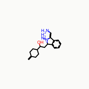 C=C1CCC(C(O)CC2c3ccccc3/C(=C/N)N2N)CC1